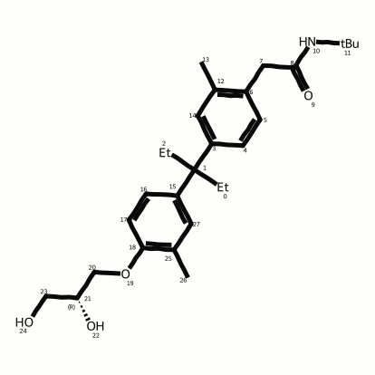 CCC(CC)(c1ccc(CC(=O)NC(C)(C)C)c(C)c1)c1ccc(OC[C@H](O)CO)c(C)c1